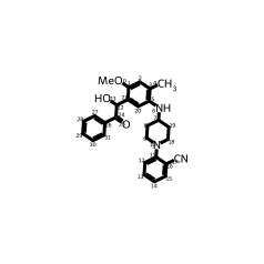 COc1cc(C)c(NC2CCN(c3ccccc3C#N)CC2)cc1C(O)C(=O)c1ccccc1